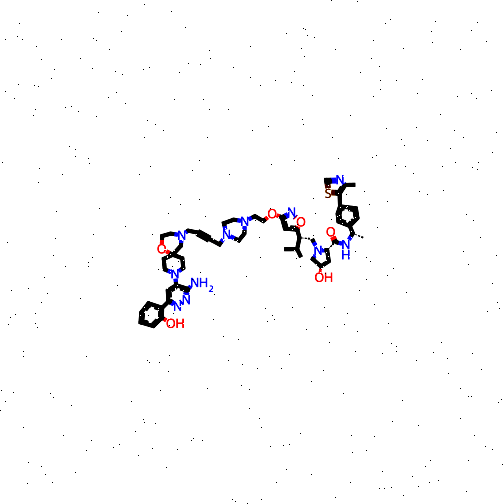 Cc1ncsc1-c1ccc([C@H](C)NC(=O)[C@@H]2C[C@@H](O)CN2C[C@@H](c2cc(OCCN3CCN(CC#CCN4CCOC5(CCN(c6cc(-c7ccccc7O)nnc6N)CC5)C4)CC3)no2)C(C)C)cc1